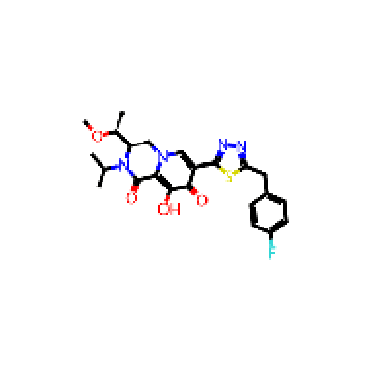 CO[C@@H](C)[C@H]1Cn2cc(-c3nnc(Cc4ccc(F)cc4)s3)c(=O)c(O)c2C(=O)N1C(C)C